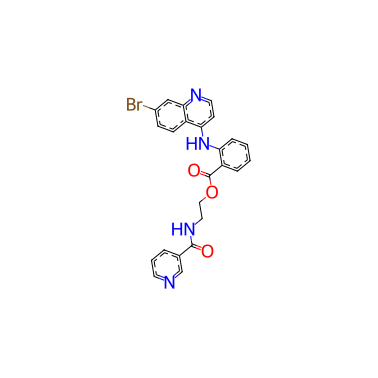 O=C(NCCOC(=O)c1ccccc1Nc1ccnc2cc(Br)ccc12)c1cccnc1